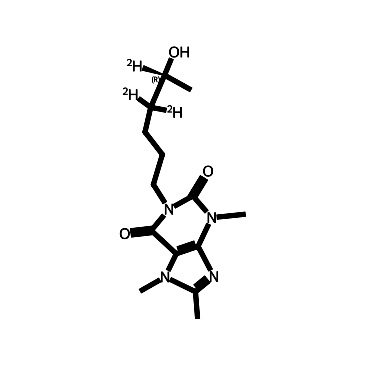 [2H]C([2H])(CCCn1c(=O)c2c(nc(C)n2C)n(C)c1=O)[C@@]([2H])(C)O